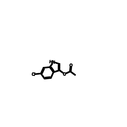 CC(=O)Oc1c[nH]c2cc(Cl)ccc12